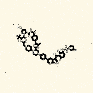 Cc1ncsc1-c1ccc([C@H](C)NC(=O)[C@@H]2C[C@@H](O)CN2C(=O)C(NC(=O)CN2CCC(N3CCN(c4ccc(-c5cnc6[nH]cc(C(=O)c7c(F)ccc(NS(=O)(=O)N8CC[C@@H](F)C8)c7F)c6c5)cc4)CC3)CC2)C(C)(C)C)cc1